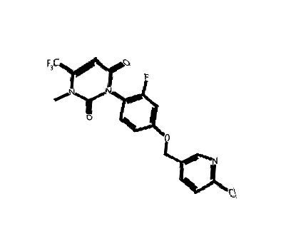 Cn1c(C(F)(F)F)cc(=O)n(-c2ccc(OCc3ccc(Cl)nc3)cc2F)c1=O